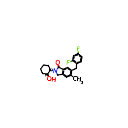 Cc1cc2c(cc1Cc1ccc(F)cc1F)C(=O)N([C@H]1CCCC[C@@H]1O)C2